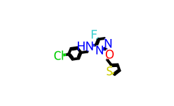 Fc1cnc(OCc2cccs2)nc1NCc1ccc(Cl)cc1